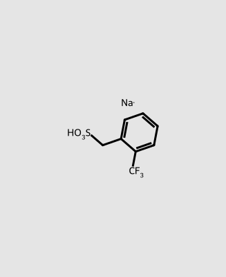 O=S(=O)(O)Cc1ccccc1C(F)(F)F.[Na]